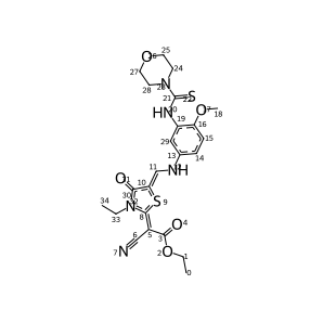 CCOC(=O)/C(C#N)=c1\sc(=CNc2ccc(OC)c(NC(=S)N3CCOCC3)c2)c(=O)n1CC